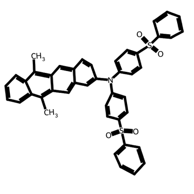 Cc1c2ccccc2c(C)c2cc3cc(N(c4ccc(S(=O)(=O)c5ccccc5)cc4)c4ccc(S(=O)(=O)c5ccccc5)cc4)ccc3cc12